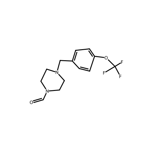 O=CN1CCN(Cc2ccc(OC(F)(F)F)cc2)CC1